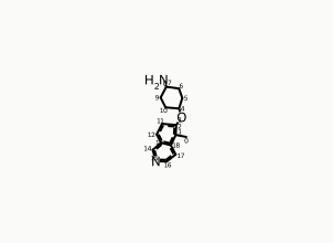 Cc1c(OC2CCC(N)CC2)ccc2cnccc12